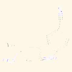 CC(C)(N)Cc1c[nH]c2ccc(C#N)cc12